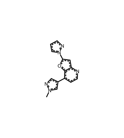 Cn1cc(-c2ccnc3cc(-n4cccn4)oc23)cn1